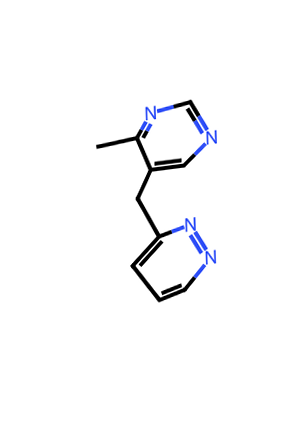 Cc1ncncc1Cc1cccnn1